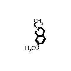 CCN1CCc2ccc(OC)cc2C1